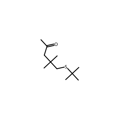 CC(=O)CC(C)(C)CSC(C)(C)C